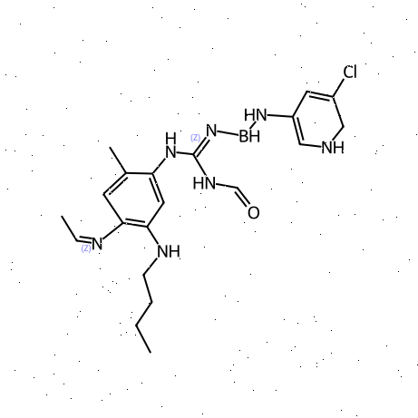 C/C=N\c1cc(C)c(N/C(=N/BNC2=CNCC(Cl)=C2)NC=O)cc1NCCCC